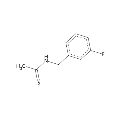 CC(=S)NCc1cccc(F)c1